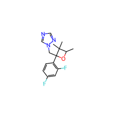 CC1OC(Cn2cncn2)(c2ccc(F)cc2F)C1(C)C